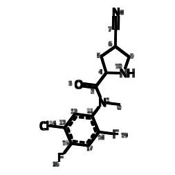 CN(C(=O)C1CC(C#N)CN1)c1cc(Cl)c(F)cc1F